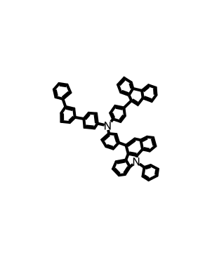 c1ccc(-c2cccc(-c3ccc(N(c4ccc(-c5cc6ccccc6c6ccccc56)cc4)c4cccc(-c5cc6ccccc6c6c5c5ccccc5n6-c5ccccc5)c4)cc3)c2)cc1